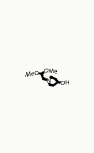 COC(CN1CCC(O)CC1)OC